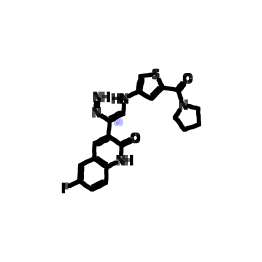 N=N/C(=C\Nc1csc(C(=O)N2CCCC2)c1)c1cc2cc(F)ccc2[nH]c1=O